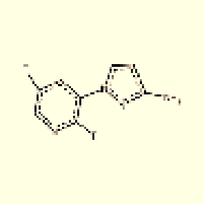 Nc1ccn(-c2cc(F)cnc2F)n1